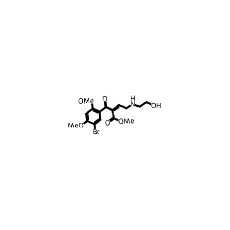 COC(=O)/C(=C\CNCCO)C(=O)c1cc(Br)c(OC)cc1OC